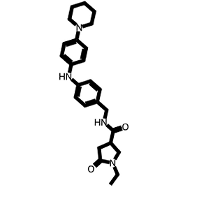 CCN1CC(C(=O)NCc2ccc(Nc3ccc(N4CCCCC4)cc3)cc2)CC1=O